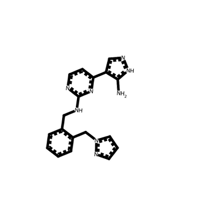 Nc1[nH]ncc1-c1ccnc(NCc2ccccc2Cn2cccn2)n1